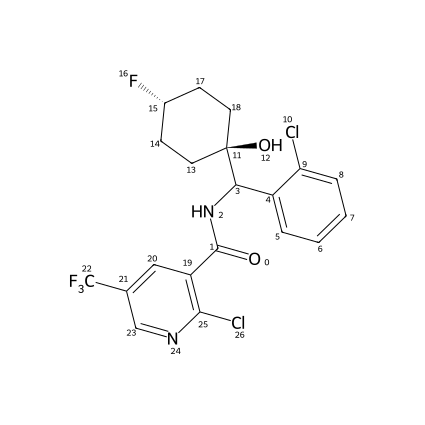 O=C(NC(c1ccccc1Cl)[C@]1(O)CC[C@H](F)CC1)c1cc(C(F)(F)F)cnc1Cl